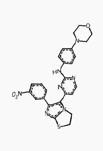 O=[N+]([O-])c1cccc(-c2nc3n(c2-c2ccnc(Nc4ccc(N5CCOCC5)cc4)n2)CCS3)c1